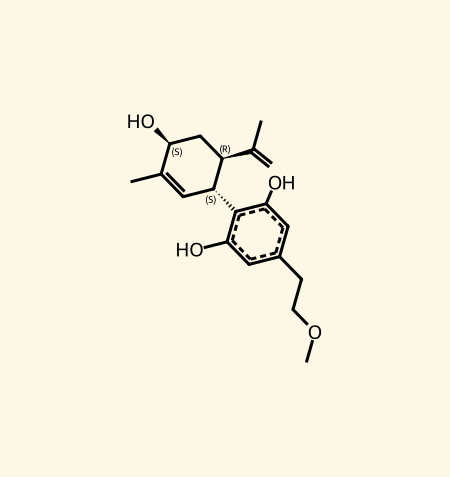 C=C(C)[C@@H]1C[C@H](O)C(C)=C[C@H]1c1c(O)cc(CCOC)cc1O